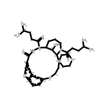 CC(C)CCC(=O)N1CCCC2C(O)C1[N+]1(CCOCC1)CCOc1ccc3oc(cc3c1)C(=O)NN2C(=O)CCC(C)C